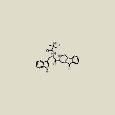 CC(C)(N)C(=O)N[C@H](Cc1c[nH]c2ccccc12)C(=O)C1CN2C(=O)c3ccccc3C2CN1